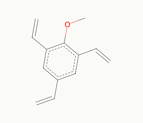 C=Cc1cc(C=C)c(OC)c(C=C)c1